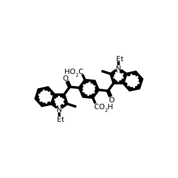 CCn1c(C)c(C(=O)c2cc(C(=O)O)c(C(=O)c3c(C)n(CC)c4ccccc34)cc2C(=O)O)c2ccccc21